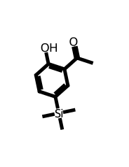 CC(=O)c1cc([Si](C)(C)C)ccc1O